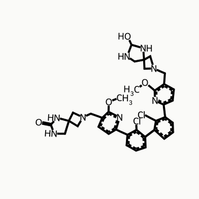 COc1nc(-c2cccc(-c3cccc(-c4ccc(CN5CC6(CNC(O)N6)C5)c(OC)n4)c3Cl)c2Cl)ccc1CN1CC2(CNC(=O)N2)C1